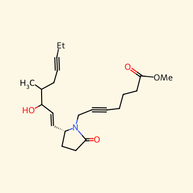 CCC#CCC(C)C(O)/C=C/[C@H]1CCC(=O)N1CC#CCCCC(=O)OC